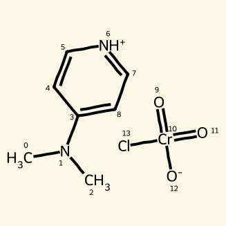 CN(C)c1cc[nH+]cc1.[O]=[Cr](=[O])([O-])[Cl]